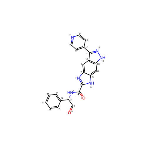 O=C[C@@H](NC(=O)c1nc2cc3c(-c4ccncc4)n[nH]c3cc2[nH]1)c1ccccc1